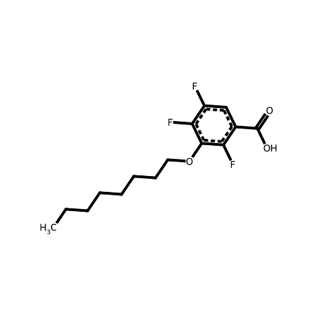 CCCCCCCCOc1c(F)c(F)cc(C(=O)O)c1F